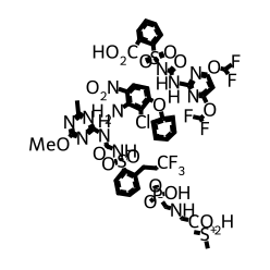 COc1nc(C)nc(NC(=O)NS(=O)(=O)c2ccccc2CCC(F)(F)F)n1.C[S+](C)C.Nc1c([N+](=O)[O-])ccc(Oc2ccccc2)c1Cl.O=C(Nc1nc(OC(F)F)cc(OC(F)F)n1)NS(=O)(=O)c1ccccc1C(=O)O.O=C(O)CNCP(=O)([O-])O